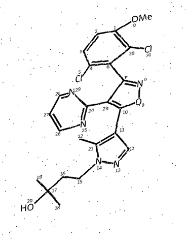 COc1ccc(Cl)c(-c2noc(-c3cnn(CCC(C)(C)O)c3C)c2-c2ncccn2)c1Cl